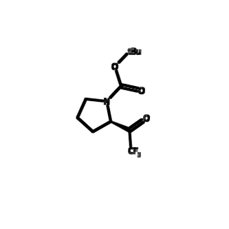 CC(C)(C)OC(=O)N1CCC[C@@H]1C(=O)C(F)(F)F